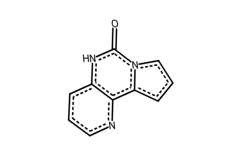 O=c1[nH]c2cccnc2c2cccn12